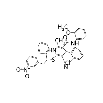 COc1ccccc1NC(=O)C1=C(C)NC(SC(Cc2cccc([N+](=O)[O-])c2)c2ccccc2)=C(C#N)C1c1ccccc1Cl